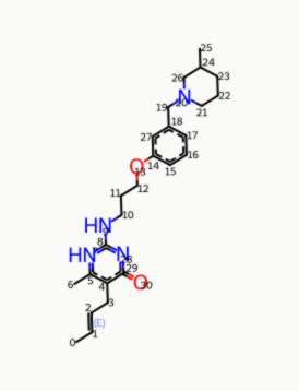 C/C=C/Cc1c(C)[nH]c(NCCCOc2cccc(CN3CCCC(C)C3)c2)nc1=O